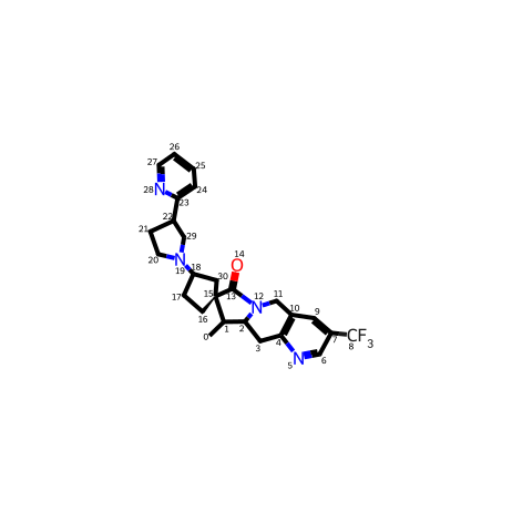 CC1C2Cc3ncc(C(F)(F)F)cc3CN2C(=O)[C@]12CCC(N1CCC(c3ccccn3)C1)C2